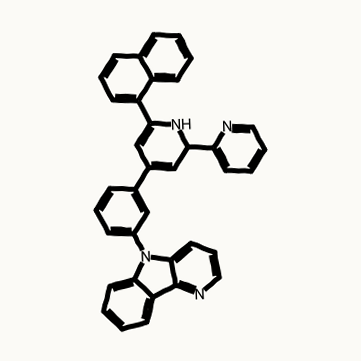 C1=C(c2cccc(-n3c4ccccc4c4ncccc43)c2)C=C(c2cccc3ccccc23)NC1c1ccccn1